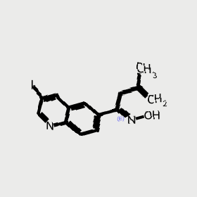 C=C(C)C/C(=N\O)c1ccc2ncc(I)cc2c1